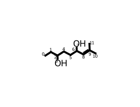 CCC(O)CCC(O)C=C(C)C